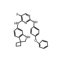 Fc1cnc(Nc2ccc(Oc3ccccc3)cc2)nc1Nc1ccc2c(c1)NCC21CCC1